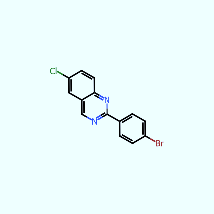 Clc1ccc2nc(-c3ccc(Br)cc3)ncc2c1